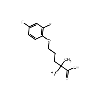 CC(C)(CCCOc1ccc(F)cc1F)C(=O)O